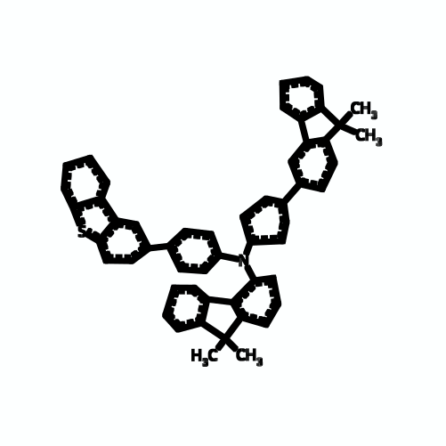 CC1(C)c2ccccc2-c2cc(-c3ccc(N(c4ccc(-c5ccc6sc7ccccc7c6c5)cc4)c4cccc5c4-c4ccccc4C5(C)C)cc3)ccc21